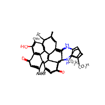 COc1c(O)c2c(=O)cc(OC)c3c4c(OC)cc(=O)c5c(NC6CCCC6C(=O)O)c(NC6CCCC6C(=O)O)c6c(c(c1C(C(C)=O)C(C)=C6)c23)c54